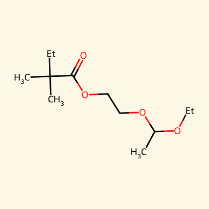 CCOC(C)OCCOC(=O)C(C)(C)CC